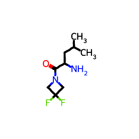 CC(C)CC(N)C(=O)N1CC(F)(F)C1